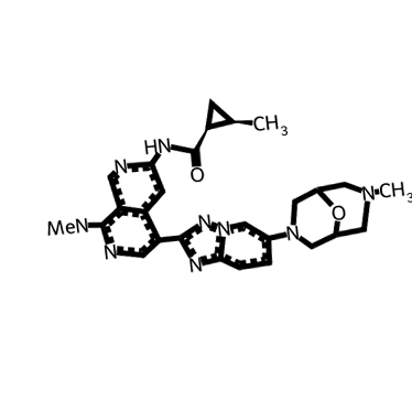 CNc1ncc(-c2nc3ccc(N4CC5CN(C)CC(C4)O5)cn3n2)c2cc(NC(=O)[C@H]3C[C@H]3C)ncc12